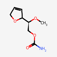 CO[C@@H](COC(N)=O)C1C=CCO1